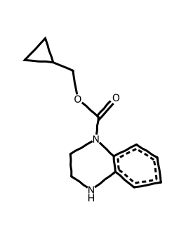 O=C(OCC1CC1)N1CCNc2ccccc21